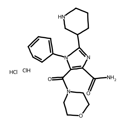 Cl.Cl.NC(=O)c1nc(C2CCCNC2)n(-c2ccccc2)c1C(=O)N1CCOCC1